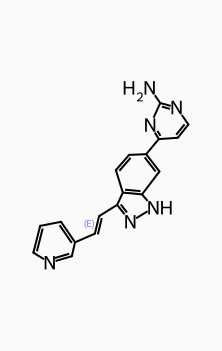 Nc1nccc(-c2ccc3c(/C=C/c4cccnc4)n[nH]c3c2)n1